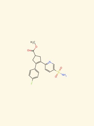 COC(=O)C1CC(c2ccc(F)cc2)=C(c2ccc(S(N)(=O)=O)cn2)C1